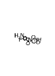 Nc1cc2c(cc1F)C(=O)N(C1CCC(=O)NC1=O)C2